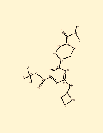 CC(C)C(=O)N1CCN(c2cc(C(=O)OC(C)(C)C)cc(NC3CCC3)n2)CC1